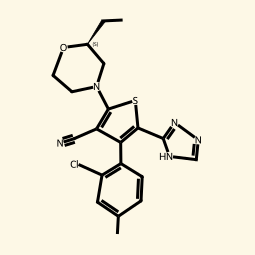 CC[C@H]1CN(c2sc(-c3nnc[nH]3)c(-c3ccc(C)cc3Cl)c2C#N)CCO1